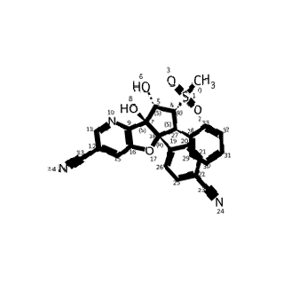 CS(=O)(=O)[C@H]1[C@@H](O)[C@@]2(O)c3ncc(C#N)cc3O[C@@]2(c2ccc(C#N)cc2)[C@@H]1c1ccccc1